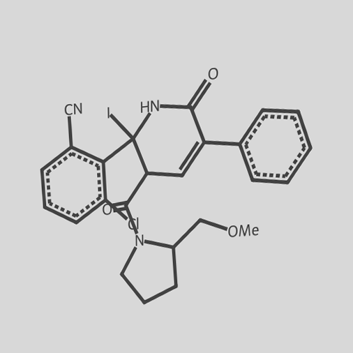 COCC1CCCN1C(=O)C1C=C(c2ccccc2)C(=O)NC1(I)c1c(Cl)cccc1C#N